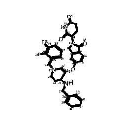 O=C1CCC(N2Cc3cc(O[C@H]4CN(Cc5cccc(F)c5F)CC[C@@H]4NCc4ccccc4)ccc3C2=O)C(=O)N1